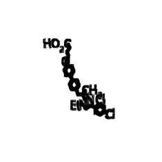 CCn1cc(-c2ccc(Cl)cc2Cl)nc1C(C)=Cc1ccc(-c2ccc(OCCCC(=O)O)cc2)cc1